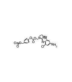 Nc1cc(Cl)c(/N=C2\NCCN2COC(=O)Oc2ccc(CO[N+](=O)[O-])cc2)c(Cl)c1